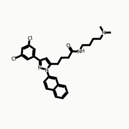 CN(C)CCCCNC(=O)CCCc1cc(-c2cc(Cl)cc(Cl)c2)nn1-c1ccc2ccccc2c1